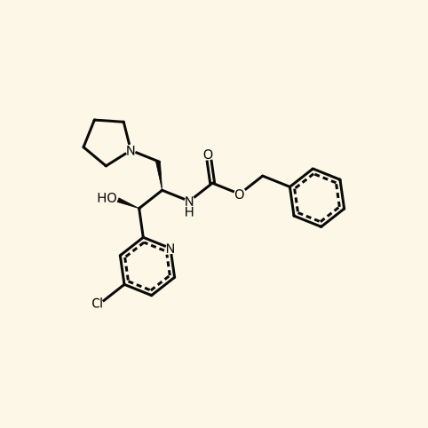 O=C(N[C@H](CN1CCCC1)[C@H](O)c1cc(Cl)ccn1)OCc1ccccc1